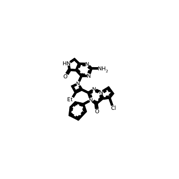 CCC1=C(c2nn3ccc(Cl)c3c(=O)n2-c2ccccc2)N(c2nc(N)nc3c2C(=O)NC3)C1